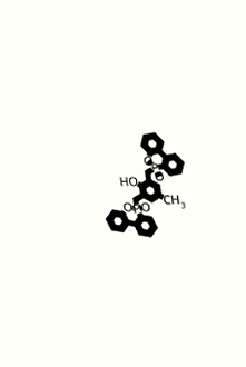 Cc1cc(CP2(=O)Oc3ccccc3-c3ccccc32)c(O)c(CP2(=O)Oc3ccccc3-c3ccccc32)c1